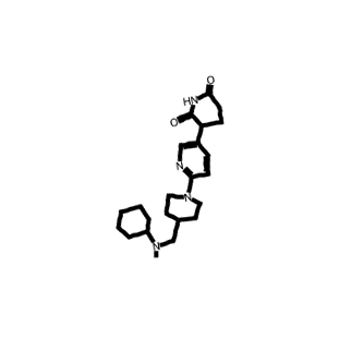 CN(CC1CCN(c2ccc(C3CCC(=O)NC3=O)cn2)CC1)C1CCCCC1